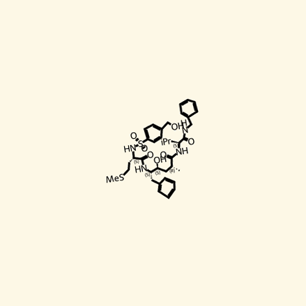 CSCC[C@H](NS(=O)(=O)c1ccc(CO)cc1)C(=O)N[C@@H](Cc1ccccc1)[C@@H](O)C[C@@H](C)C(=O)N[C@H](C(=O)NCc1ccccc1)C(C)C